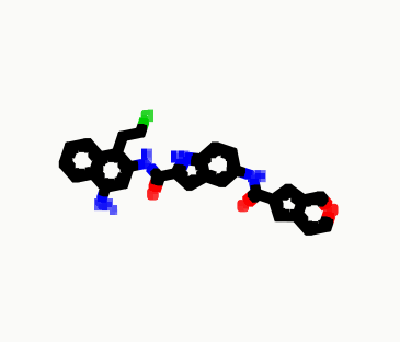 Nc1cc(NC(=O)c2cc3cc(NC(=O)c4cc5ccocc-5c4)ccc3[nH]2)c(CCCl)c2ccccc12